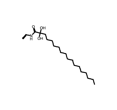 C=CNC(=O)C(O)(O)CCCCCCCCCCCCCCCC